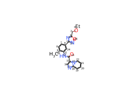 CCOCc1nc(-c2ccc(C)c(NC(=O)c3cnc4ccccn34)c2)no1